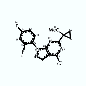 COC1(c2nc(Cl)c3cnn(-c4ccc(F)cc4F)c3n2)CC1